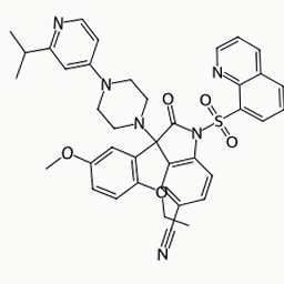 CCOc1ccc(OC)cc1C1(N2CCN(c3ccnc(C(C)C)c3)CC2)C(=O)N(S(=O)(=O)c2cccc3cccnc23)c2ccc(C#N)cc21